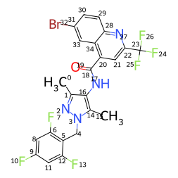 Cc1nn(Cc2c(F)cc(F)cc2F)c(C)c1NC(=O)c1cc(C(F)(F)F)nc2ccc(Br)cc12